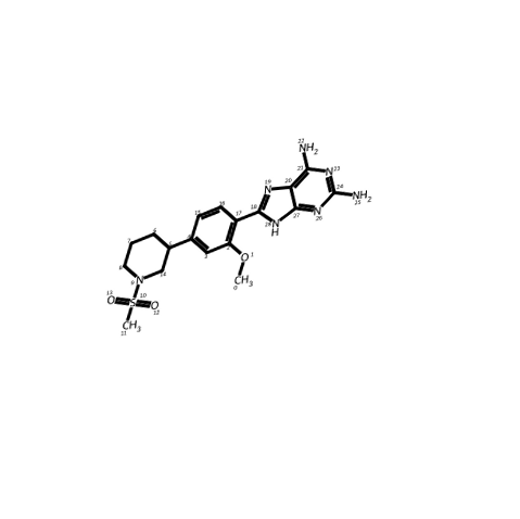 COc1cc(C2CCCN(S(C)(=O)=O)C2)ccc1-c1nc2c(N)nc(N)nc2[nH]1